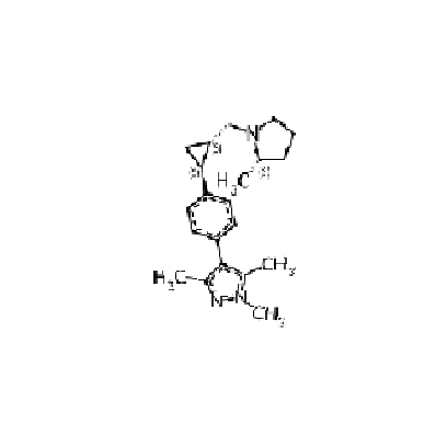 Cc1nn(C)c(C)c1-c1ccc([C@H]2C[C@@H]2CN2CCC[C@@H]2C)cc1